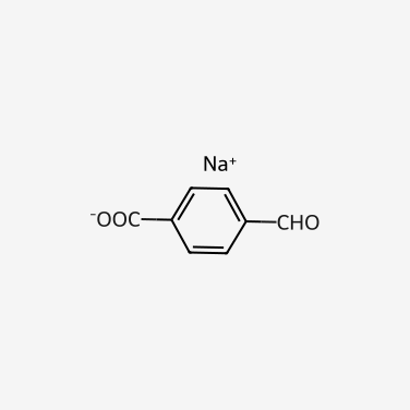 O=Cc1ccc(C(=O)[O-])cc1.[Na+]